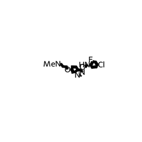 CNCCCOc1ccc2c(OCNc3ccc(Cl)cc3F)ncnc2c1